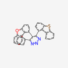 c1ccc(-c2nnnc(-c3cccc4sc5ccccc5c34)c2-c2cccc3oc4ccccc4c23)cc1